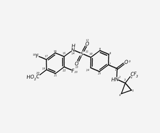 O=C(NC1(C(F)(F)F)CC1)c1ccc(S(=O)(=O)Nc2cc(F)c(C(=O)O)cc2F)cc1